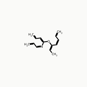 C=C/C=C\C(=C/C)OC(=C/C=C)/N=C\C=C